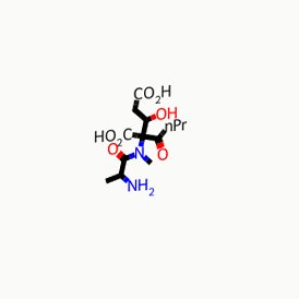 CCCC(=O)C(C(=O)O)(C(O)CC(=O)O)N(C)C(=O)C(C)N